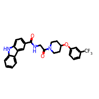 O=C(NCC(=O)N1CCC(Oc2cccc(C(F)(F)F)c2)CC1)c1ccc2[nH]c3ccccc3c2c1